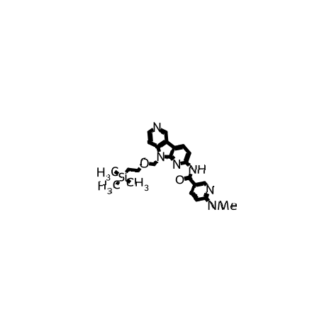 CNc1ccc(C(=O)Nc2ccc3c4cnccc4n(COCC[Si](C)(C)C)c3n2)cn1